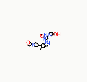 COc1nc(N2CC[C@H](O)C2)cc(-n2ncc3cc(C)c(C4CCN(C5CCOC5)CC4)cc32)n1